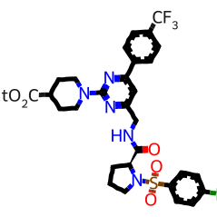 CCOC(=O)C1CCN(c2nc(CNC(=O)[C@@H]3CCCN3S(=O)(=O)c3ccc(F)cc3)cc(-c3ccc(C(F)(F)F)cc3)n2)CC1